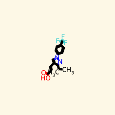 CC(C)c1nn(-c2ccc(C(F)(F)F)cc2)cc1/C=C/C(=O)O